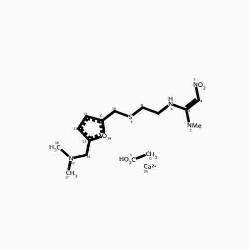 CC(=O)O.CN/C(=C/[N+](=O)[O-])NCCSCc1ccc(CN(C)C)o1.[Ca+2]